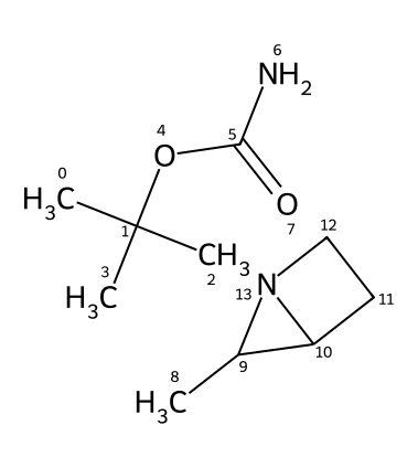 CC(C)(C)OC(N)=O.CC1C2CCN12